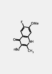 CCCCc1c(C)[nH]c2cc(OC)c(F)cc2c1=O